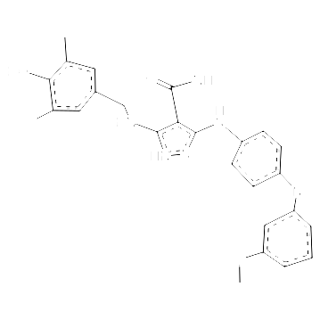 COc1cccc(Nc2ccc(Nc3n[nH]c(NCc4cc(C)c(O)c(C)c4)c3C(N)=O)cc2)c1